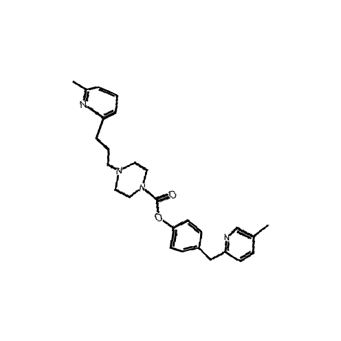 Cc1ccc(Cc2ccc(OC(=O)N3CCN(CCCc4cccc(C)n4)CC3)cc2)nc1